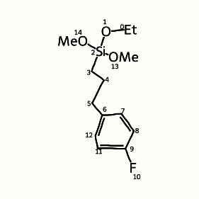 CCO[Si](CCCc1ccc(F)cc1)(OC)OC